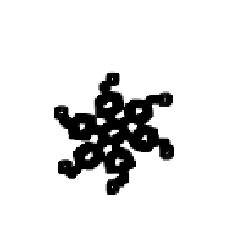 O=Cc1ccc(-c2c(-c3ccc(C=O)cc3)c(-c3ccc(C=O)cc3)c(-c3ccc(C=O)cc3)c(-c3ccc(C=O)cc3)c2-c2ccc(C=O)cc2)cc1